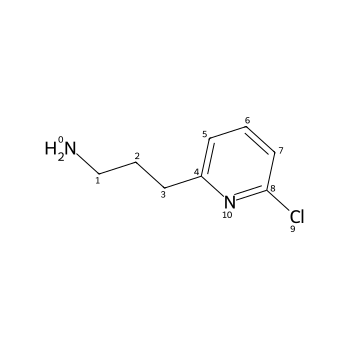 NCCCc1cccc(Cl)n1